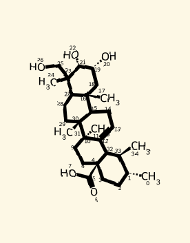 C[C@@H]1CC[C@]2(C(=O)O)CC[C@]3(C)C(=CCC4[C@@]5(C)C[C@@H](O)[C@@H](O)C(C)(CO)C5CC[C@]43C)C2[C@H]1C